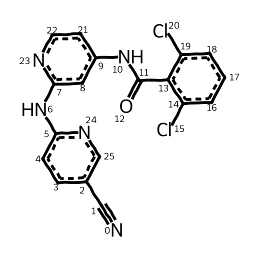 N#Cc1ccc(Nc2cc(NC(=O)c3c(Cl)cccc3Cl)ccn2)nc1